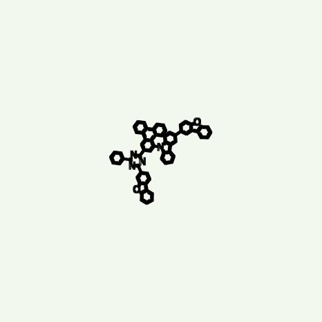 c1ccc(-c2nc(-c3ccc4c(c3)oc3ccccc34)nc(-c3cc(-n4c5ccccc5c5cc(-c6ccc7oc8ccccc8c7c6)ccc54)c4c5ccccc5c5ccccc5c4c3)n2)cc1